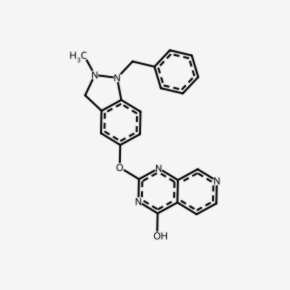 CN1Cc2cc(Oc3nc(O)c4ccncc4n3)ccc2N1Cc1ccccc1